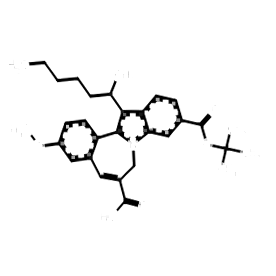 CCCCCC(C)c1c2n(c3cc(C(=O)OC(C)(C)C)ccc13)CC(C(=O)O)=Cc1cc(OC)ccc1-2